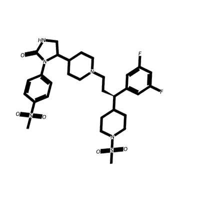 CS(=O)(=O)c1ccc(N2C(=O)NCC2C2CCN(CC[C@@H](c3cc(F)cc(F)c3)C3CCN(S(C)(=O)=O)CC3)CC2)cc1